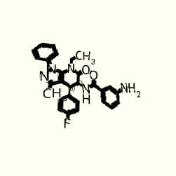 CCN1C(=O)[C@@H](NC(=O)c2cccc(N)c2)[C@@H](c2ccc(F)cc2)c2c(C)nn(-c3ccccc3)c21